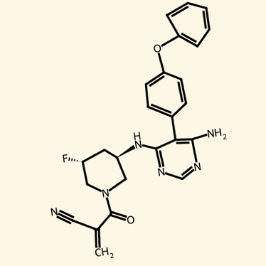 C=C(C#N)C(=O)N1C[C@H](F)C[C@@H](Nc2ncnc(N)c2-c2ccc(Oc3ccccc3)cc2)C1